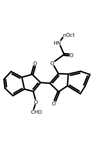 CCCCCCCCNC(=O)OC1=C(C2=C(OC=O)c3ccccc3C2=O)C(=O)c2ccccc21